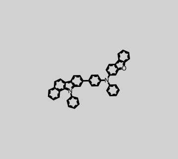 c1ccc(N(c2ccc(-c3ccc4c5ccc6ccccc6c5n(-c5ccccc5)c4c3)cc2)c2ccc3c(c2)oc2ccccc23)cc1